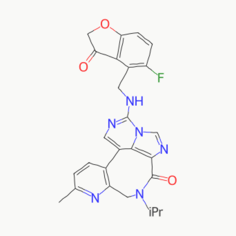 Cc1ccc2c(n1)CN(C(C)C)C(=O)c1ncn3c(NCc4c(F)ccc5c4C(=O)CO5)ncc-2c13